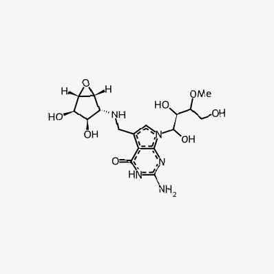 COC(CO)C(O)C(O)n1cc(CN[C@@H]2[C@@H](O)[C@@H](O)[C@@H]3O[C@H]23)c2c(=O)[nH]c(N)nc21